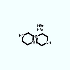 Br.Br.C1CNCCN1.C1CNCCN1